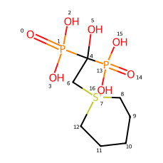 O=P(O)(O)C(O)(C[S+]1CCCCC1)P(=O)(O)O